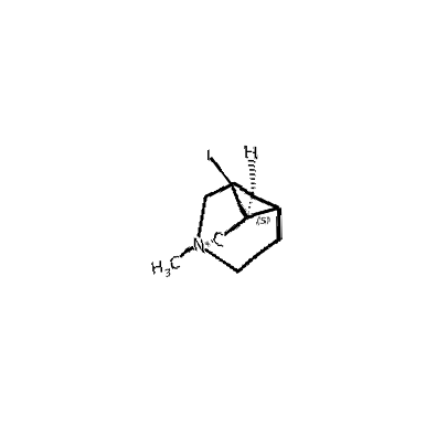 C[N+]12CCC(CC1)[C@H](I)C2